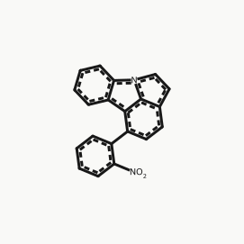 O=[N+]([O-])c1ccccc1-c1ccc2ccn3c4ccccc4c1c23